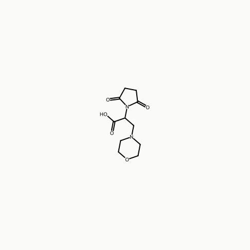 O=C(O)C(CN1CCOCC1)N1C(=O)CCC1=O